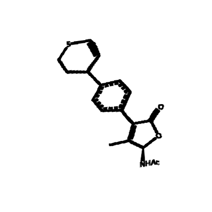 CC(=O)N[C@@H]1OC(=O)C(c2ccc(C3C=CSCC3)cc2)=C1C